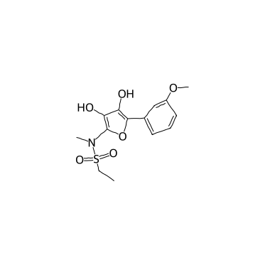 CCS(=O)(=O)N(C)c1oc(-c2cccc(OC)c2)c(O)c1O